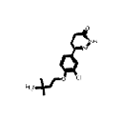 CC(C)(N)CCOc1ccc(C2=NNC(=O)CC2)cc1Cl